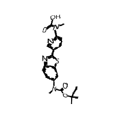 CN(C(=O)OC(C)(C)C)c1ccc2nc(-c3ccc(N(C)C(=O)O)nc3)sc2c1